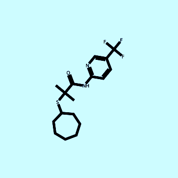 CC(C)(SC1CCCCCC1)C(=O)Nc1ccc(C(F)(F)F)cn1